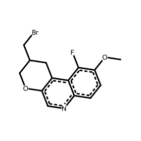 COc1ccc2ncc3c(c2c1F)CC(CBr)CO3